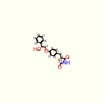 O=C1NC(=O)C(Cc2ccc(OC[C@@H](O)c3ccccc3)cc2)S1